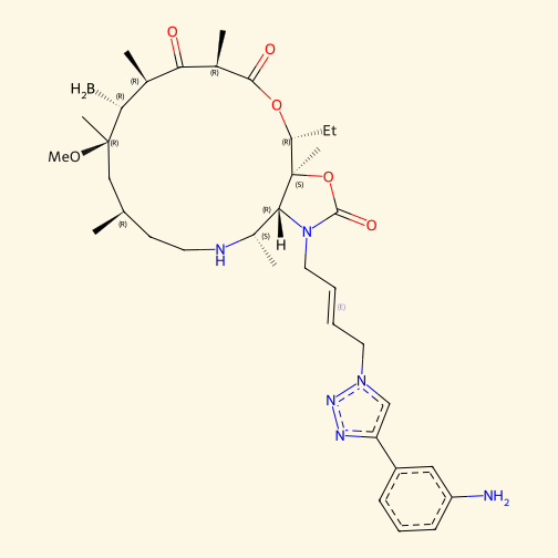 B[C@@H]1[C@@H](C)C(=O)[C@@H](C)C(=O)O[C@H](CC)[C@@]2(C)OC(=O)N(C/C=C/Cn3cc(-c4cccc(N)c4)nn3)[C@@H]2[C@H](C)NCC[C@@H](C)C[C@@]1(C)OC